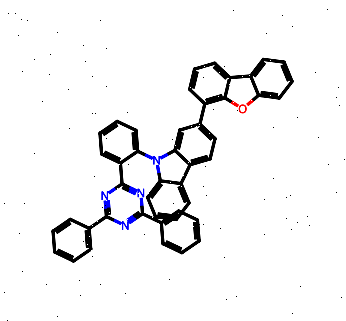 c1ccc(-c2nc(-c3ccccc3)nc(-c3ccccc3-n3c4ccccc4c4ccc(-c5cccc6c5oc5ccccc56)cc43)n2)cc1